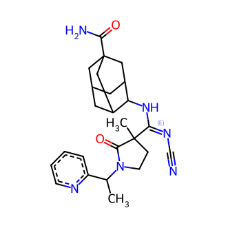 CC(c1ccccn1)N1CCC(C)(/C(=N\C#N)NC2C3CC4CC2CC(C(N)=O)(C4)C3)C1=O